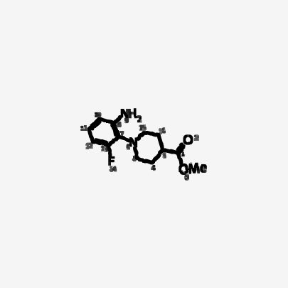 COC(=O)C1CCN(c2c(N)cccc2F)CC1